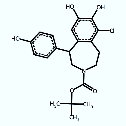 CC(C)(C)OC(=O)N1CCc2c(cc(O)c(O)c2Cl)C(c2ccc(O)cc2)C1